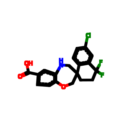 O=C(O)c1ccc2c(c1)NCC1(CCC(F)(F)c3cc(Cl)ccc31)CO2